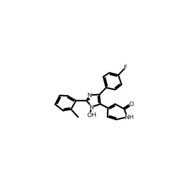 Cc1ccccc1-c1nc(-c2ccc(F)cc2)c(-c2cc[nH]c(=O)c2)n1O